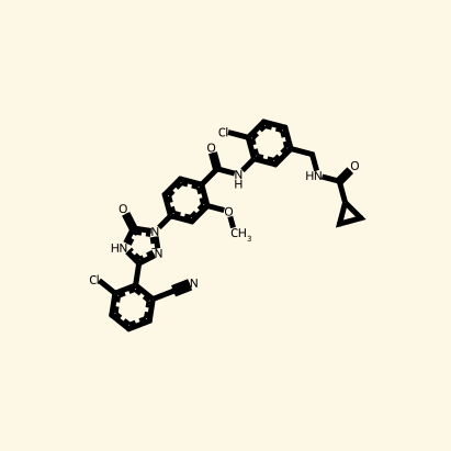 COc1cc(-n2nc(-c3c(Cl)cccc3C#N)[nH]c2=O)ccc1C(=O)Nc1cc(CNC(=O)C2CC2)ccc1Cl